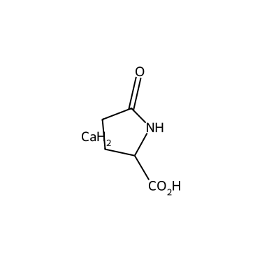 O=C1CCC(C(=O)O)N1.[CaH2]